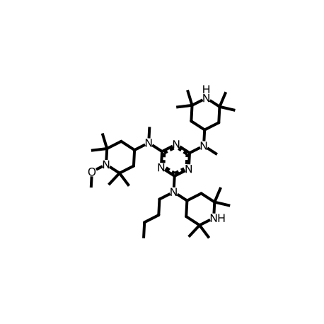 CCCCN(c1nc(N(C)C2CC(C)(C)NC(C)(C)C2)nc(N(C)C2CC(C)(C)N(OC)C(C)(C)C2)n1)C1CC(C)(C)NC(C)(C)C1